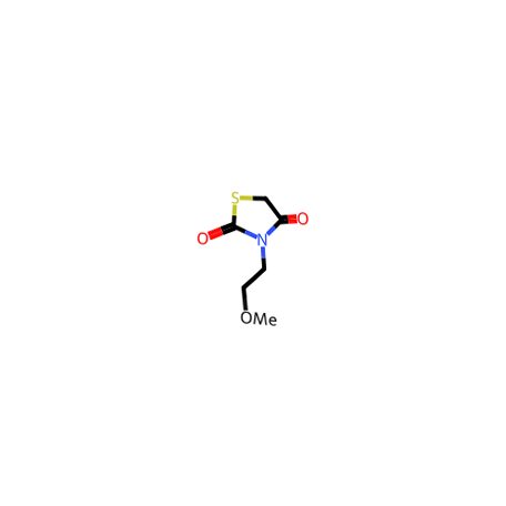 COCCN1C(=O)CSC1=O